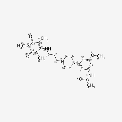 COc1cc(NC(C)=O)cc(N2CCN(CCCNc3c(C)c(=O)n(C)c(=O)n3C)CC2)c1